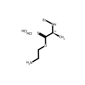 CCN[C@@H](C)C(=S)OCCN.Cl.Cl